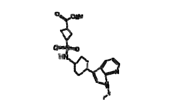 COC(=O)C1CC(S(=O)(=O)NC2CCC(c3cn(SI)c4ncccc34)CC2)C1